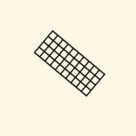 C1C2C3C4CC5C6C7C8C9C%10C%11C%12C%13CC%14C%15C%16CC%17C%18C%19C%20C%21C%22C%23C%24C1C21C32C45C63C74C85C96C%107C%118C%129C%14%13C%15%10C%16%17C%18%11C%19%12C%20%13C%21%14C%22%15C%23%16C%241C23C%164C%155C%146C%137C%128C%10%119